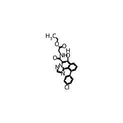 CCOC(=O)CNC(=O)c1c(O)c2cccc(-c3ccc(Cl)cc3)c2c2ncnn12